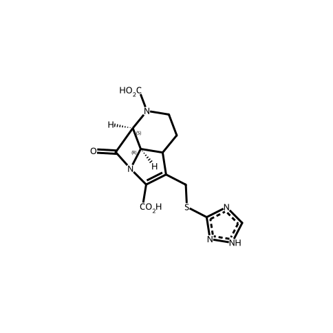 O=C(O)C1=C(CSc2nc[nH]n2)C2CCN(C(=O)O)[C@@H]3C(=O)N1[C@H]23